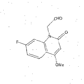 COc1cc(=O)n(CC=O)c2cc(F)ccc12